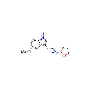 COc1ccc2[nH]cc(CCNC3CCCO3)c2c1